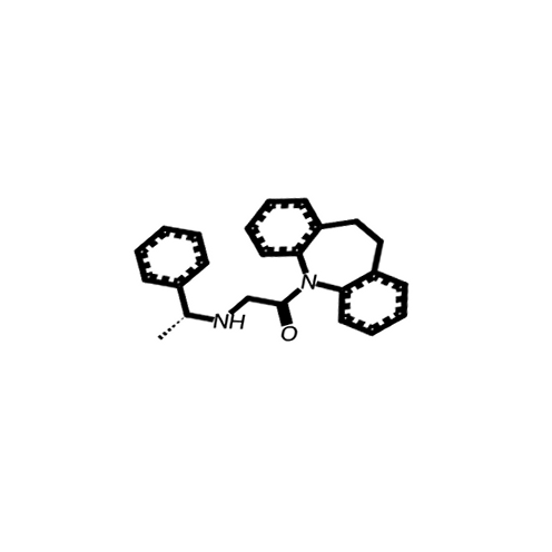 C[C@@H](NCC(=O)N1c2ccccc2CCc2ccccc21)c1ccccc1